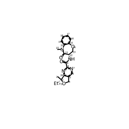 CC[C@@]1(C)OCc2cnc(C(=O)N[C@H]3COc4ccccc4N(C)C3=O)nc21